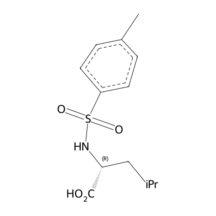 Cc1ccc(S(=O)(=O)N[C@H](CC(C)C)C(=O)O)cc1